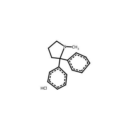 CN1CCCC1(c1ccccc1)c1ccccc1.Cl